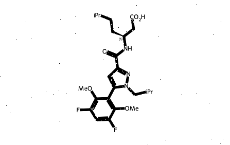 COc1c(F)cc(F)c(OC)c1-c1cc(C(=O)N[C@@H](CCC(C)C)CC(=O)O)nn1CC(C)C